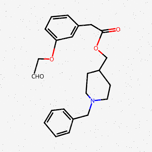 O=CCOc1cccc(CC(=O)OCC2CCN(Cc3ccccc3)CC2)c1